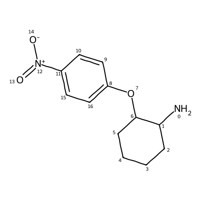 NC1CCCCC1Oc1ccc([N+](=O)[O-])cc1